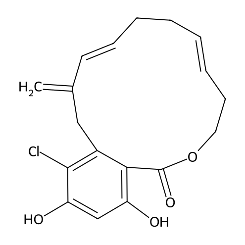 C=C1/C=C/CC/C=C/CCOC(=O)c2c(O)cc(O)c(Cl)c2C1